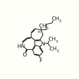 CCCC[C@@]1(C)C=CC2=C=CNC(=O)c3cc(F)cc4c3c2c(n4C(C)C)C1